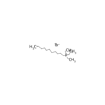 CCCCCCCCCCC[P+](CC)(CC)CC.[Br-]